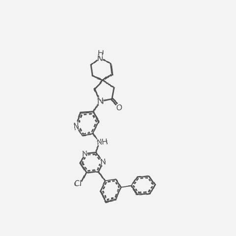 O=C1CC2(CCNCC2)CN1c1cncc(Nc2ncc(Cl)c(-c3cccc(-c4ccccc4)c3)n2)c1